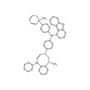 CC1CC(c2ccc(N(c3ccc(C4(C)C=CC=CC4)cc3)c3cccc4oc5ccccc5c34)cc2)/C=C\N(c2ccccc2)c2ccccc21